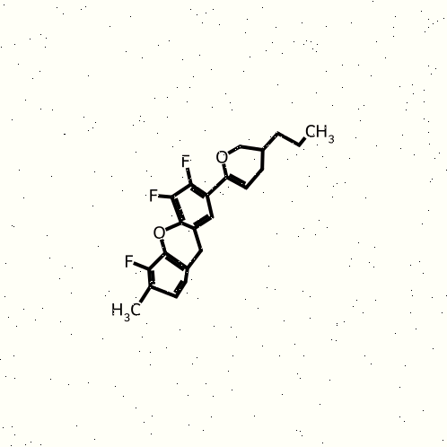 CCCC1CC=C(c2cc3c(c(F)c2F)Oc2c(ccc(C)c2F)C3)OC1